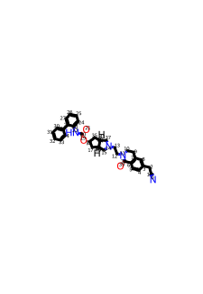 N#CCc1ccc2c(c1)CCN(CCN1C[C@H]3C[C@H](OC(=O)Nc4ccccc4-c4ccccc4)C[C@H]3C1)C2=O